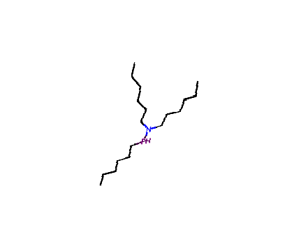 CCCCCCPN(CCCCCC)CCCCCC